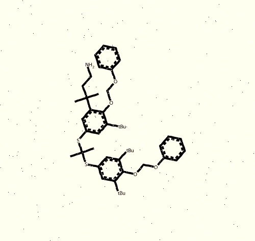 CC(C)(Sc1cc(C(C)(C)C)c(OCOc2ccccc2)c(C(C)(C)C)c1)Sc1cc(C(C)(C)C)c(OCOc2ccccc2)c(C(C)(C)CCN)c1